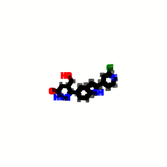 O=C1CC(CO)C(c2ccc3[nH]c(-c4ccnc(Cl)c4)cc3c2)=NN1